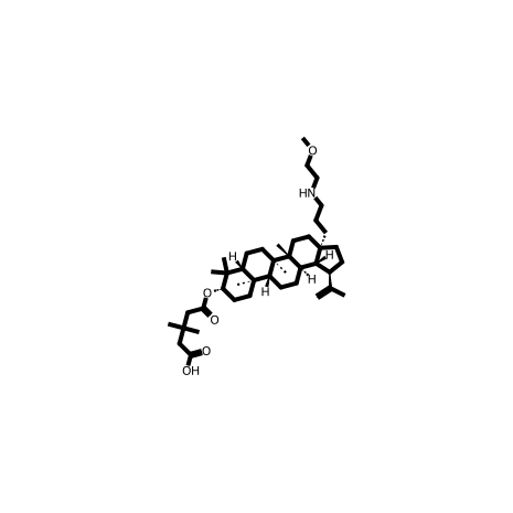 C=C(C)[C@@H]1CC[C@]2(CCCNCCOC)CC[C@]3(C)[C@H](CC[C@@H]4[C@@]5(C)CC[C@H](OC(=O)CC(C)(C)CC(=O)O)C(C)(C)[C@@H]5CC[C@]43C)[C@@H]12